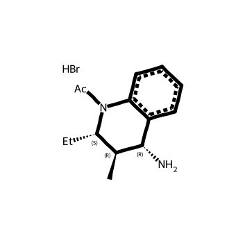 Br.CC[C@H]1[C@H](C)[C@@H](N)c2ccccc2N1C(C)=O